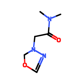 CN(C)C(=O)CN1COC=N1